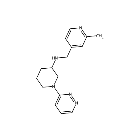 Cc1cc(CNC2CCCN(c3cccnn3)C2)ccn1